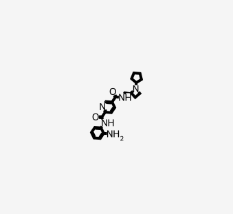 Nc1ccccc1NC(=O)c1ccc(C(=O)NC[C@@H]2CCN2C2CCCC2)cn1